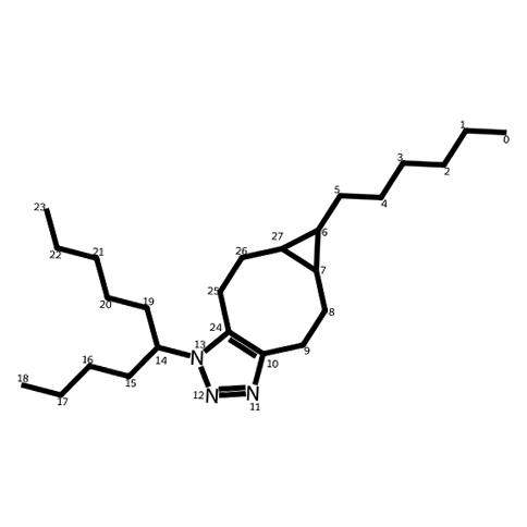 CCCCCCC1C2CCc3nnn(C(CCCC)CCCCC)c3CCC12